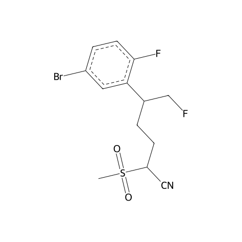 CS(=O)(=O)C(C#N)CCC(CF)c1cc(Br)ccc1F